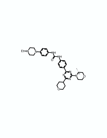 CCN1CCN(c2ccc(NC(=O)Nc3ccc(-c4nc(C5CCOCC5)nc(N5CCOC[C@H]5C)n4)cc3)cc2)CC1